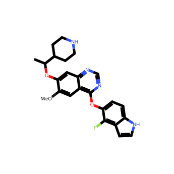 COc1cc2c(Oc3ccc4[nH]ccc4c3F)ncnc2cc1OC(C)C1CCNCC1